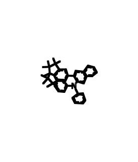 CC1(C)c2cc(-c3cc4ccccc4cc3N(c3ccccc3)c3ccccc3)cc3c2C(C)(C1(C)C)C(C)(C)C3(C)C